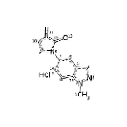 Cl.Cn1ncc2cc(-n3cc[nH]c3=O)ccc21